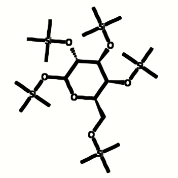 C[Si](C)(C)OC[C@H]1OC(O[Si](C)(C)C)[C@H](O[Si](C)(C)C)[C@@H](O[Si](C)(C)C)[C@H]1O[Si](C)(C)C